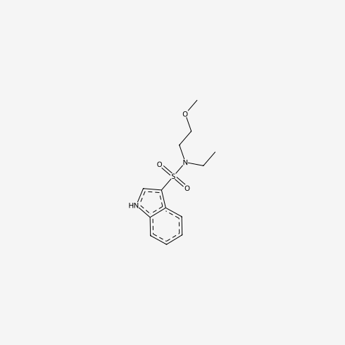 CCN(CCOC)S(=O)(=O)c1c[nH]c2ccccc12